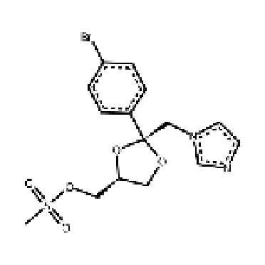 CS(=O)(=O)OC[C@@H]1CO[C@@](Cn2ccnc2)(c2ccc(Br)cc2)O1